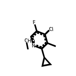 CC=O.Cc1c(C2CC2)ncc(F)c1Cl